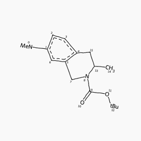 CNc1ccc2c(c1)CN(C(=O)OC(C)(C)C)C(C)C2